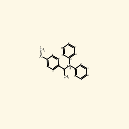 COc1ccc(C(C)[SiH](c2ccccc2)c2ccccc2)cc1